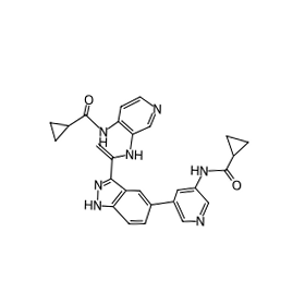 C=C(Nc1cnccc1NC(=O)C1CC1)c1n[nH]c2ccc(-c3cncc(NC(=O)C4CC4)c3)cc12